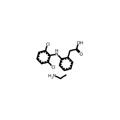 CCN.O=C(O)Cc1ccccc1Nc1c(Cl)cccc1Cl